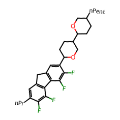 CCCCCC1CCC(C2CCC(c3cc4c(c(F)c3F)-c3c(cc(CCC)c(F)c3F)C4)OC2)OC1